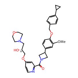 COc1cc(C2CN(C(=O)c3cc(OC[C@H](O)CN4CCOCC4)ccn3)C2)ccc1OCc1ccc(C2CC2)cc1